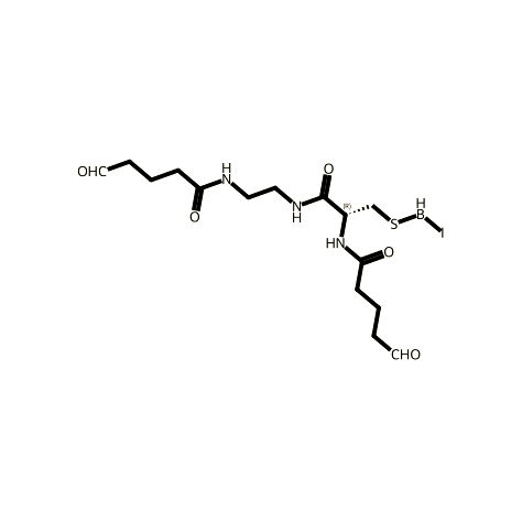 O=CCCCC(=O)NCCNC(=O)[C@H](CSBI)NC(=O)CCCC=O